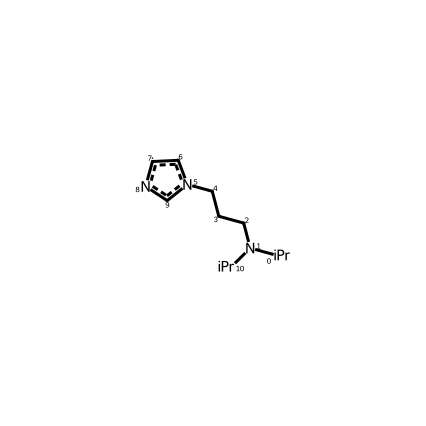 CC(C)N(CCCn1c[c]nc1)C(C)C